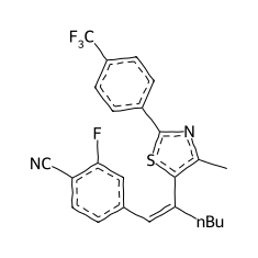 CCCCC(=Cc1ccc(C#N)c(F)c1)c1sc(-c2ccc(C(F)(F)F)cc2)nc1C